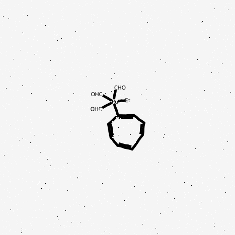 C[CH2][Ru]([CH]=O)([CH]=O)([CH]=O)[C]1=CC=CC=CC=C1